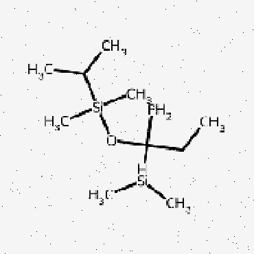 CCC(P)(O[Si](C)(C)C(C)C)[SiH](C)C